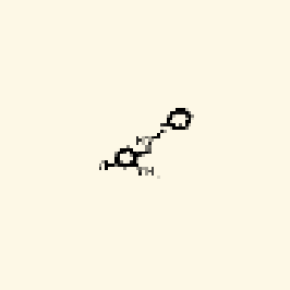 Cc1cc(Cl)ccc1CNCCc1ccccc1